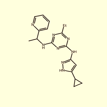 CCc1nc(Nc2cc(C3CC3)[nH]n2)nc(NC(C)c2ccccn2)n1